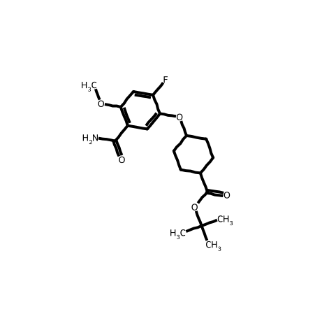 COc1cc(F)c(OC2CCC(C(=O)OC(C)(C)C)CC2)cc1C(N)=O